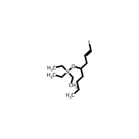 CCCCC(C/C=C/I)O[Si](CC)(CC)CC